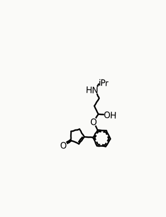 CC(C)NCCC(O)Oc1ccccc1C1=CC(=O)CC1